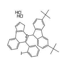 CC(C)(C)c1ccc2c(c1)-c1cc(C(C)(C)C)ccc1[CH]2[Zr]([C]1=CC=CC1)=[C](c1ccccc1I)c1ccccc1I.Cl.Cl